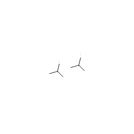 F[C](F)F.F[C](F)F